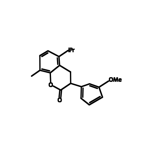 COc1cccc(C2Cc3c(C(C)C)ccc(C)c3OC2=O)c1